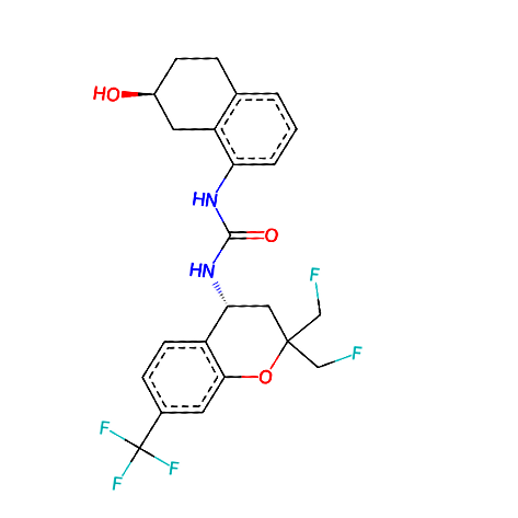 O=C(Nc1cccc2c1C[C@@H](O)CC2)N[C@@H]1CC(CF)(CF)Oc2cc(C(F)(F)F)ccc21